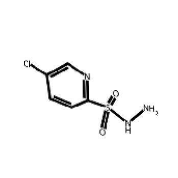 NNS(=O)(=O)c1ccc(Cl)cn1